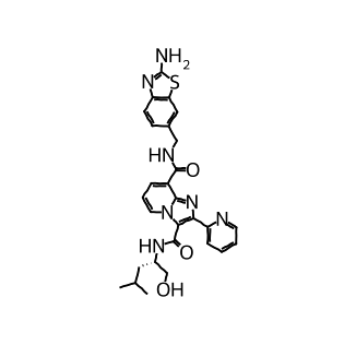 CC(C)C[C@@H](CO)NC(=O)c1c(-c2ccccn2)nc2c(C(=O)NCc3ccc4nc(N)sc4c3)cccn12